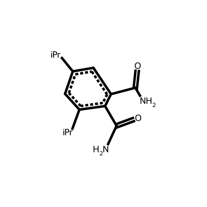 CC(C)c1cc(C(N)=O)c(C(N)=O)c(C(C)C)c1